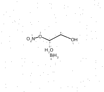 O.O=[N+]([O-])OCCO.[BiH3]